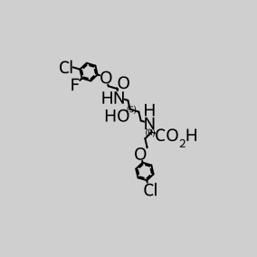 O=C(COc1ccc(Cl)c(F)c1)NC[C@@H](O)CCN[C@H](CCOc1ccc(Cl)cc1)C(=O)O